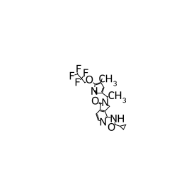 Cc1cc(C(C)N2Cc3c(ccnc3NC(=O)C3CC3)C2=O)cnc1OCC(F)(F)C(F)F